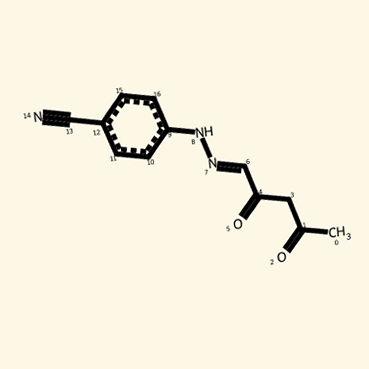 CC(=O)CC(=O)C=NNc1ccc(C#N)cc1